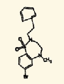 CN1CCN(CCc2ccccc2)S(=O)(=O)c2ccc(Br)cc21